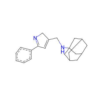 C1=C(CNC23CC4CC(CC(C4)C2)C3)CN=C1c1ccccc1